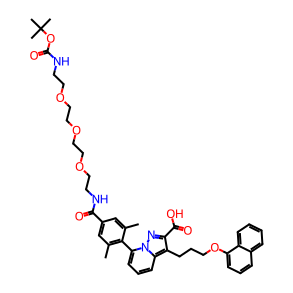 Cc1cc(C(=O)NCCOCCOCCOCCNC(=O)OC(C)(C)C)cc(C)c1-c1cccc2c(CCCOc3cccc4ccccc34)c(C(=O)O)nn12